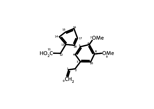 C=CCc1ccc(OC)c(OC)c1.O=C(O)Cc1ccccc1